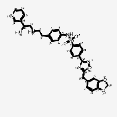 O=S(=O)(Nc1ccc(CCNCC(O)c2cccnc2)cc1)c1ccc(-c2noc(Cc3ccc4c(c3)OCO4)n2)cc1